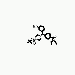 CCN(CC)C(=O)c1ccc(C(c2cccc(Br)c2)N2CCN(C(=O)OC(C)(C)C)CC2)cc1